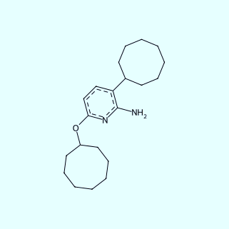 Nc1nc(OC2CCCCCCC2)ccc1C1CCCCCCC1